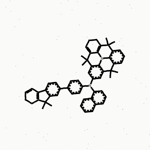 CC1(C)C2=C(C=CCC2)c2ccc(-c3ccc(N(c4cc5c6c(c4)C(C)(C)c4cccc7c4N6C4=C(CCC=C4C5(C)C)C7(C)C)c4cccc5ccccc45)cc3)cc21